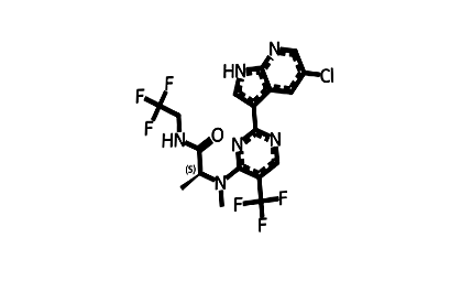 C[C@@H](C(=O)NCC(F)(F)F)N(C)c1nc(-c2c[nH]c3ncc(Cl)cc23)ncc1C(F)(F)F